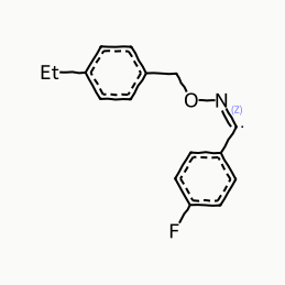 CCc1ccc(CO/N=[C]\c2ccc(F)cc2)cc1